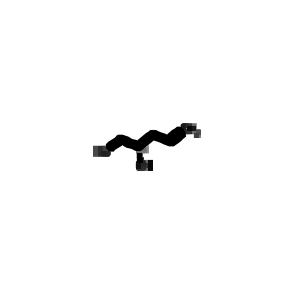 C=CC[C@H](O)CO